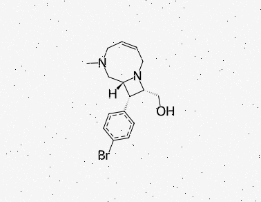 CN1C/C=C\CN2[C@H](CO)[C@H](c3ccc(Br)cc3)[C@@H]2C1